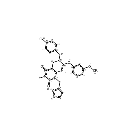 Cn1c(=O)c2c(n(Cc3ccno3)c1=O)N=C(Oc1cccc(OC(F)(F)F)c1)C(Cc1ccc(Cl)cc1)C2